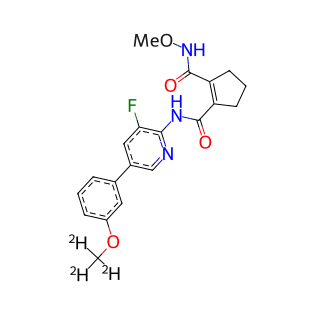 [2H]C([2H])([2H])Oc1cccc(-c2cnc(NC(=O)C3=C(C(=O)NOC)CCC3)c(F)c2)c1